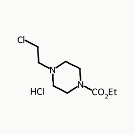 CCOC(=O)N1CCN(CCCl)CC1.Cl